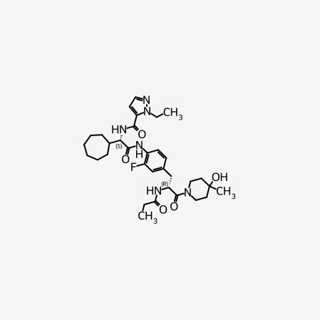 CCC(=O)N[C@H](Cc1ccc(NC(=O)[C@@H](NC(=O)c2ccnn2CC)C2CCCCCC2)c(F)c1)C(=O)N1CCC(C)(O)CC1